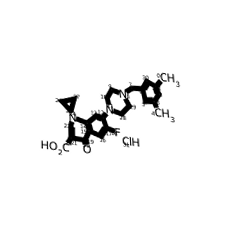 Cc1cc(C)cc(CN2CCN(c3cc4c(cc3F)c(=O)c(C(=O)O)cn4C3CC3)CC2)c1.Cl